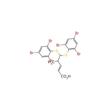 CC(C=CC(=O)O)C(Sc1c(Br)cc(Br)cc1Br)Sc1c(Br)cc(Br)cc1Br